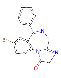 O=C1CN=C2CN=C(c3ccccc3)c3cc(Br)ccc3N12